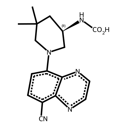 CC1(C)C[C@@H](NC(=O)O)CN(c2ccc(C#N)c3nccnc23)C1